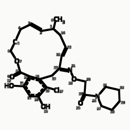 CC1/C=C/CCCOC(=O)c2c(O)cc(O)c(Cl)c2CC(=N\OCC(=O)N2CCCCC2)/C=C/C1